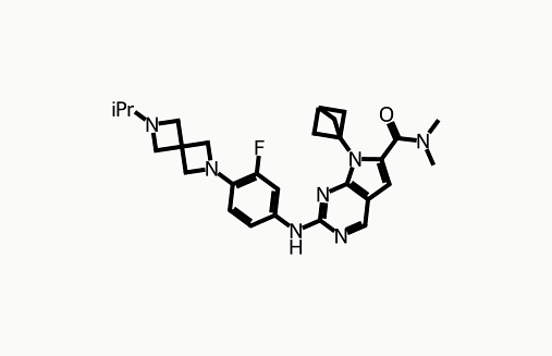 CC(C)N1CC2(CN(c3ccc(Nc4ncc5cc(C(=O)N(C)C)n(C67CC(C6)C7)c5n4)cc3F)C2)C1